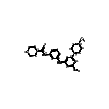 Cc1nc(Nc2cccc(NC(=O)N3CCOCC3)c2)cc(N2CCN(C)CC2)n1